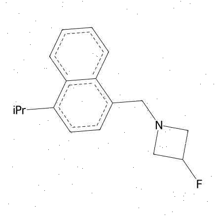 CC(C)c1ccc(CN2CC(F)C2)c2ccccc12